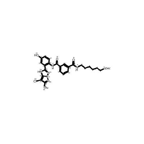 CCCCCCCCCCCCCCCCNC(=O)c1cccc(C(=O)Nc2ccc(O)cc2-c2nn3nc(C(C)(C)C)c(Cl)c3[nH]2)c1